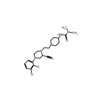 CN(C)C(=O)NC1CCC(CCN2CCN(c3cccc(Cl)c3Cl)CC2C#N)CC1